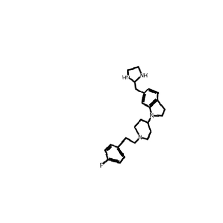 Fc1ccc(CCN2CCC(N3CCc4ccc(CC5NCCN5)cc43)CC2)cc1